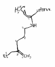 C=C(CC)CCCNC(=C)CCCCC